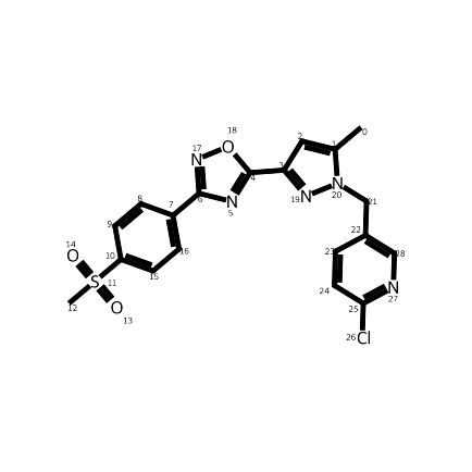 Cc1cc(-c2nc(-c3ccc(S(C)(=O)=O)cc3)no2)nn1Cc1ccc(Cl)nc1